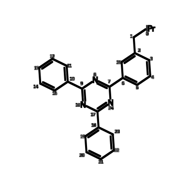 CC(C)Cc1cccc(-c2nc(-c3ccccc3)nc(-c3ccccc3)n2)c1